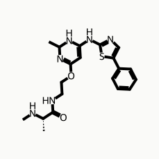 CN[C@@H](C)C(=O)NCCOC1=NC(C)NC(Nc2ncc(-c3ccccc3)s2)=C1